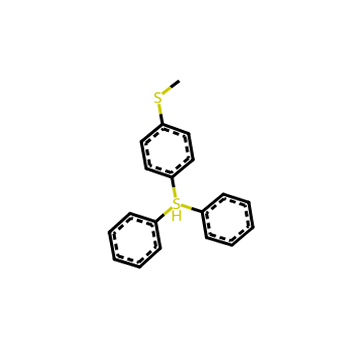 CSc1ccc([SH](c2ccccc2)c2ccccc2)cc1